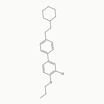 CCCOc1ccc(-c2ccc(CCC3CC[CH]CC3)cc2)cc1Cl